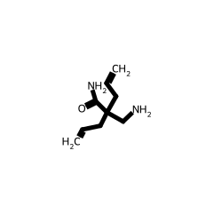 C=CCC(CN)(CC=C)C(N)=O